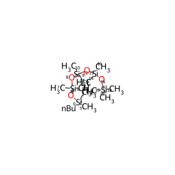 CCCC[Si](C)(C)O[Si](C)(C)O[Si](C)(CC)O[Si](C)(C)O[Si](C)(C)C